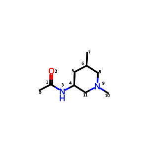 CC(=O)NC1CC(C)CN(C)C1